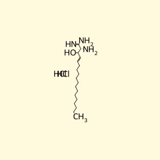 CCCCCCCCCCCCC/C=C/[C@@H](O)[C@@H](N)C(=N)N.Cl.Cl